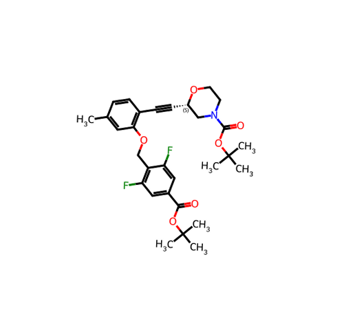 Cc1ccc(C#C[C@H]2CN(C(=O)OC(C)(C)C)CCO2)c(OCc2c(F)cc(C(=O)OC(C)(C)C)cc2F)c1